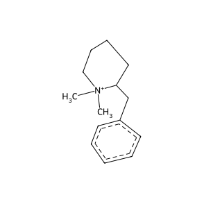 C[N+]1(C)CCCCC1Cc1ccccc1